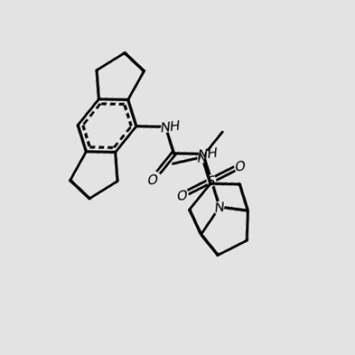 CN(C)C1CC2CCC(C1)N2S(=O)(=O)NC(=O)Nc1c2c(cc3c1CCC3)CCC2